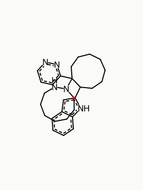 c1cnnc(C2(N3CCCCCCCN3)CCCCCCCC2c2cc3ccccc3[nH]2)c1